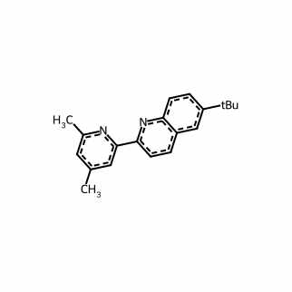 Cc1cc(C)nc(-c2ccc3cc(C(C)(C)C)ccc3n2)c1